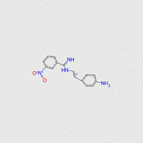 N=C(N/C=C/c1ccc(N)cc1)c1cccc([N+](=O)[O-])c1